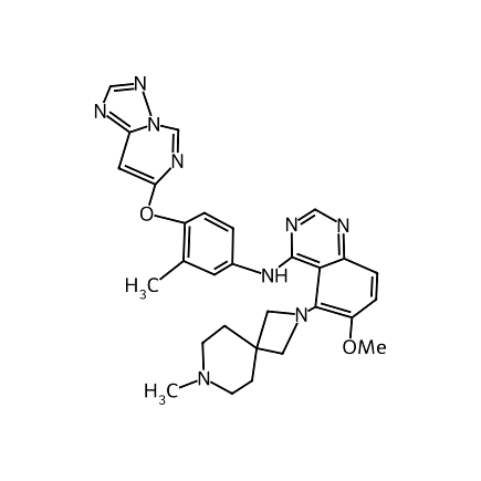 COc1ccc2ncnc(Nc3ccc(Oc4cc5ncnn5cn4)c(C)c3)c2c1N1CC2(CCN(C)CC2)C1